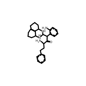 Nc1ccccc1[C]([C](NC1CCCCC1)NC1CCCCC1)C(=O)C(N)CCc1ccccc1